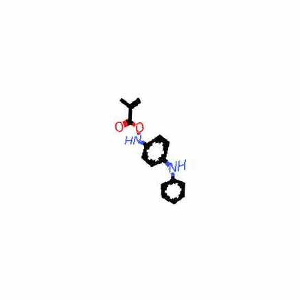 C=C(C)C(=O)ONc1ccc(Nc2ccccc2)cc1